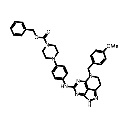 COc1ccc(CN2CCc3n[nH]c4nc(Nc5ccc(N6CCN(C(=O)OCc7ccccc7)CC6)cc5)nc2c34)cc1